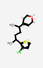 CC(CCC(C)c1sccc1Cl)C1=CCOCC1